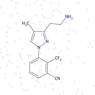 Cc1cn(-c2cccc(C#N)c2C(F)(F)F)nc1CCN